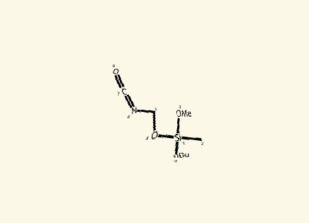 CCCC[Si](C)(OC)OCN=C=O